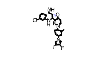 Cc1cc(-n2cc(F)c(F)c2)ccc1-n1ccc(=O)c(/C(=C/C=N)Nc2cccc(Cl)c2)n1